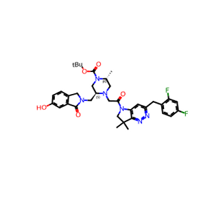 C[C@@H]1CN(CC(=O)N2CC(C)(C)c3nnc(Cc4ccc(F)cc4F)cc32)[C@@H](CN2Cc3ccc(O)cc3C2=O)CN1C(=O)OC(C)(C)C